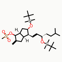 C=C1C[C@@H]2[C@H](/C=C/[C@H](CCC(C)C)O[Si](C)(C)C(C)(C)C)[C@H](O[Si](C)(C)C(C)(C)C)C[C@@H]2C1OS(C)(=O)=O